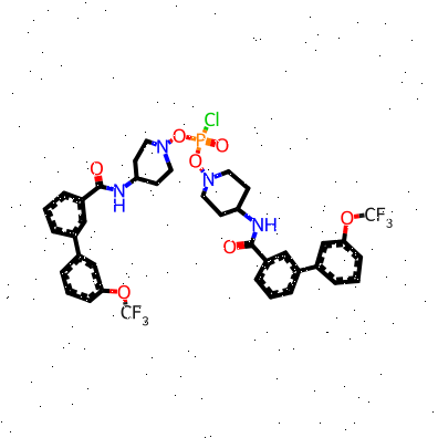 O=C(NC1CCN(OP(=O)(Cl)ON2CCC(NC(=O)c3cccc(-c4cccc(OC(F)(F)F)c4)c3)CC2)CC1)c1cccc(-c2cccc(OC(F)(F)F)c2)c1